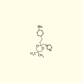 CC1(C)COC(CCc2ccc(C(C)(C)C)cc2)(Cn2ccnc2)OC1